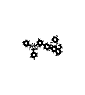 C1=CN(c2ccccc2)c2c3oc4cc(-c5cccc(-c6nc(-c7ccccc7)nc(-c7ccccc7)n6)c5)ccc4c3cc3cccc1c23